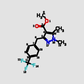 COC(=O)c1c(Cc2ccc(C(F)(F)F)cc2)nn(C)c1C